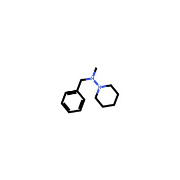 CN(Cc1ccccc1)N1CCCCC1